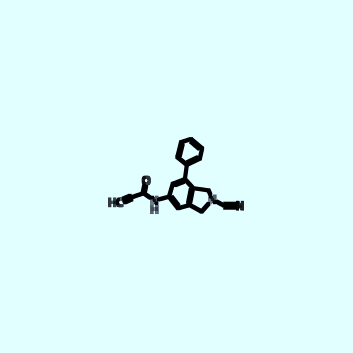 C#CC(=O)Nc1cc2c(c(-c3ccccc3)c1)CN(C#N)C2